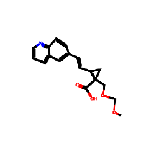 COCOCC1(C(=O)O)CC1C=Cc1ccc2ncccc2c1